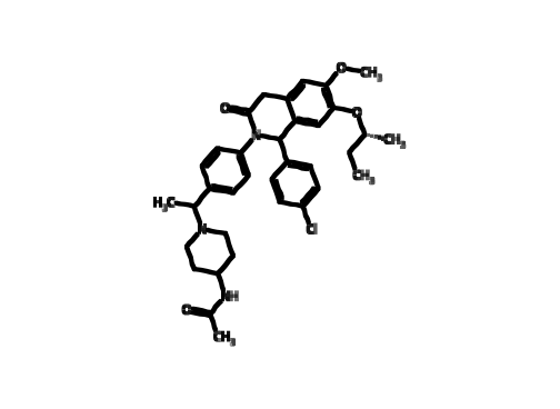 CC[C@@H](C)Oc1cc2c(cc1OC)CC(=O)N(c1ccc(C(C)N3CCC(NC(C)=O)CC3)cc1)C2c1ccc(Cl)cc1